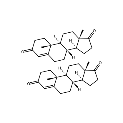 C[C@]12CCC(=O)C=C1CC[C@@H]1[C@@H]2CC[C@]2(C)C(=O)CC[C@@H]12.C[C@]12CCC(=O)C=C1CC[C@@H]1[C@@H]2CC[C@]2(C)C(=O)CC[C@@H]12